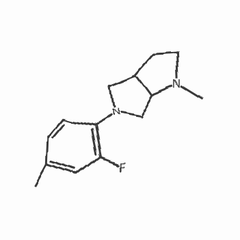 Cc1ccc(N2CC3CCN(C)C3C2)c(F)c1